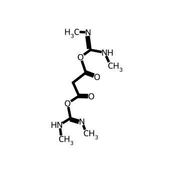 CN=C(NC)OC(=O)CC(=O)OC(=NC)NC